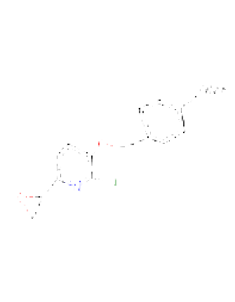 COc1ccc(COc2ccc(C3CO3)nc2Cl)cc1